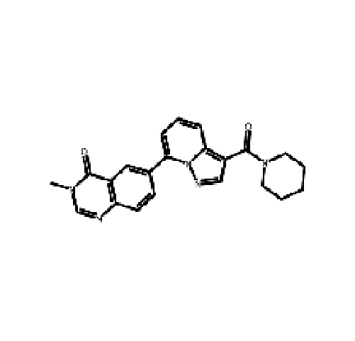 Cn1cnc2ccc(-c3cccc4c(C(=O)N5CCCCC5)cnn34)cc2c1=O